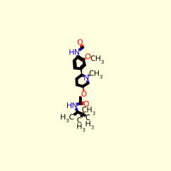 COc1cc([C@@H]2CC[C@H](OCC(=O)NC(C)C(C)(C)C)CN2C)ccc1NC=O